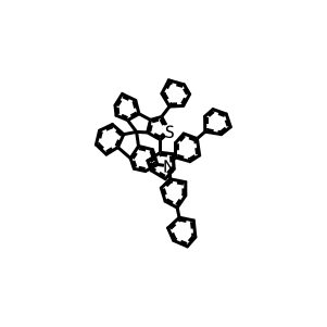 c1ccc(-c2ccc(N(c3ccc(-c4ccccc4)cc3)c3ccc4c(c3)C3(c5ccccc5-4)c4ccccc4-c4c(-c5ccccc5)sc(-c5ccccc5)c43)cc2)cc1